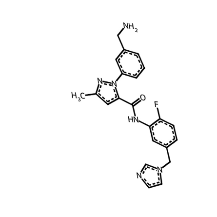 Cc1cc(C(=O)Nc2cc(Cn3ccnc3)ccc2F)n(-c2cccc(CN)c2)n1